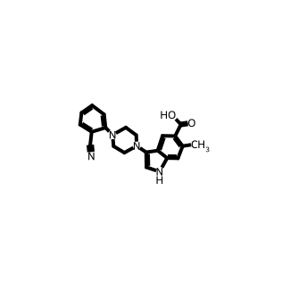 Cc1cc2[nH]cc(N3CCN(c4ccccc4C#N)CC3)c2cc1C(=O)O